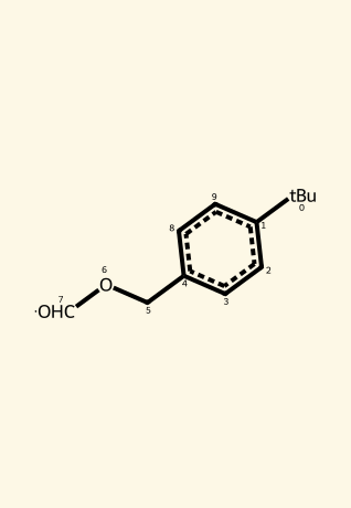 CC(C)(C)c1ccc(CO[C]=O)cc1